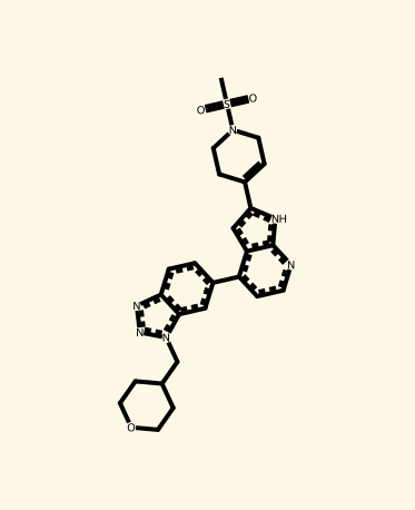 CS(=O)(=O)N1CC=C(c2cc3c(-c4ccc5nnn(CC6CCOCC6)c5c4)ccnc3[nH]2)CC1